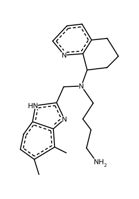 Cc1ccc2[nH]c(CN(CCCCN)C3CCCc4cccnc43)nc2c1C